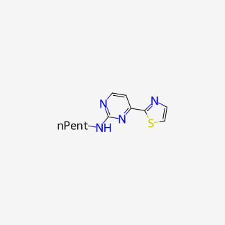 CCCCCNc1nccc(-c2nccs2)n1